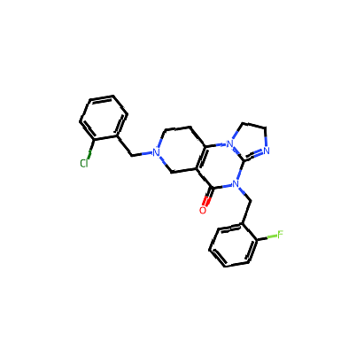 O=C1C2=C(CCN(Cc3ccccc3Cl)C2)N2CCN=C2N1Cc1ccccc1F